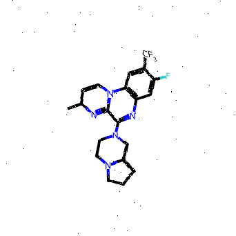 CC1C=CN2C(=N1)C(N1CCN3CCCC3C1)=Nc1cc(F)c(C(F)(F)F)cc12